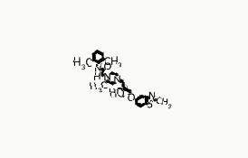 Cc1nc2cc(OC[C@@H](O)CN3CCN(CC(=O)Nc4c(C)cccc4C)[C@H](C)C3)ccc2s1